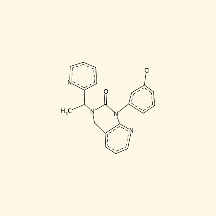 CC(c1ccccn1)N1Cc2cccnc2N(c2cccc(Cl)c2)C1=O